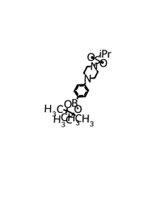 CC(C)S(=O)(=O)N1CCN(c2ccc(B3OC(C)(C)C(C)(C)O3)cc2)CC1